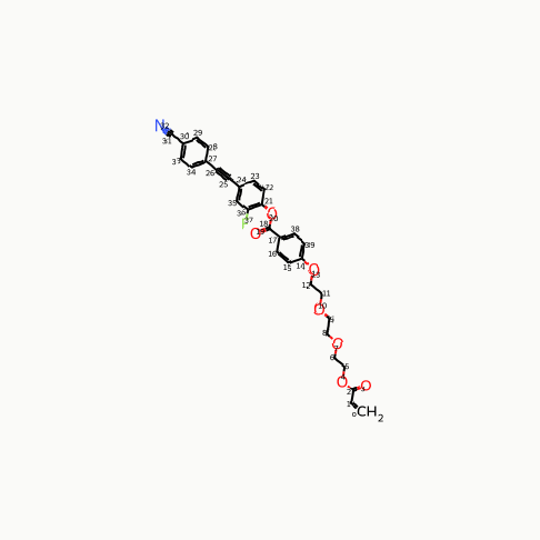 C=CC(=O)OCCOCCOCCOc1ccc(C(=O)Oc2ccc(C#Cc3ccc(C#N)cc3)cc2F)cc1